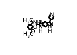 COc1cccc(C(C)NC(=O)c2nc3cc4c(-c5ccncc5)n[nH]c4cc3[nH]2)c1